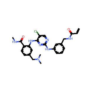 C=CC(=O)NCc1cccc(Nc2ncc(Cl)c(Nc3cc(CN(C)C)ccc3C(=O)NC)n2)c1